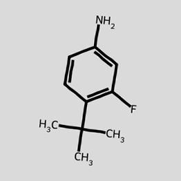 CC(C)(C)c1ccc(N)cc1F